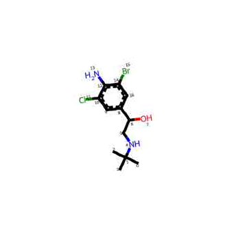 CC(C)(C)NCC(O)c1cc(Cl)c(N)c(Br)c1